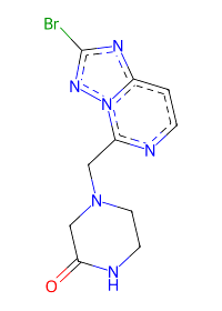 O=C1CN(Cc2nccc3nc(Br)nn23)CCN1